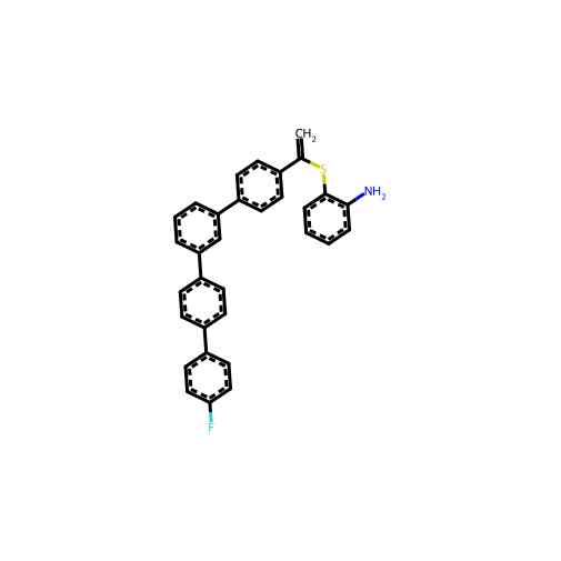 C=C(Sc1ccccc1N)c1ccc(-c2cccc(-c3ccc(-c4ccc(F)cc4)cc3)c2)cc1